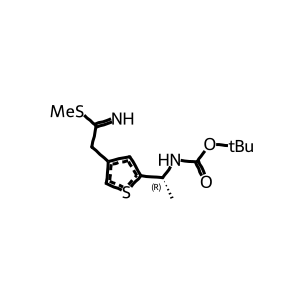 CSC(=N)Cc1csc([C@@H](C)NC(=O)OC(C)(C)C)c1